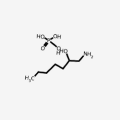 CCCCCC(O)CN.O=P(O)(O)O